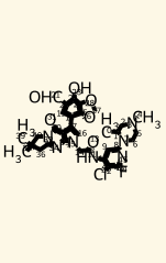 CC1CN(C)CCN1c1cc(NC(=O)Cn2cc(-c3cc(C=O)c(O)c4c3OCO4)c3c(=O)n4c(nc32)CC(C)(C)C4)c(Cl)c(F)n1